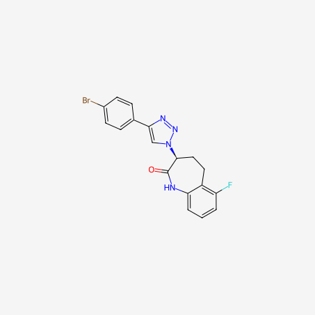 O=C1Nc2cccc(F)c2CC[C@@H]1n1cc(-c2ccc(Br)cc2)nn1